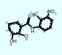 O=C(Nc1cccc([N+](=O)[O-])c1Br)c1cccc(O)c1Cl